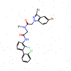 CC(=O)c1nn(CC(=O)N(CC(=O)Nc2cccc(-c3ccccc3Cl)c2F)C(C)C)c2ccc(Br)cc12